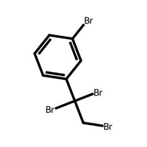 BrCC(Br)(Br)c1cccc(Br)c1